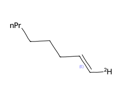 [2H]/C=C/CCCCCC